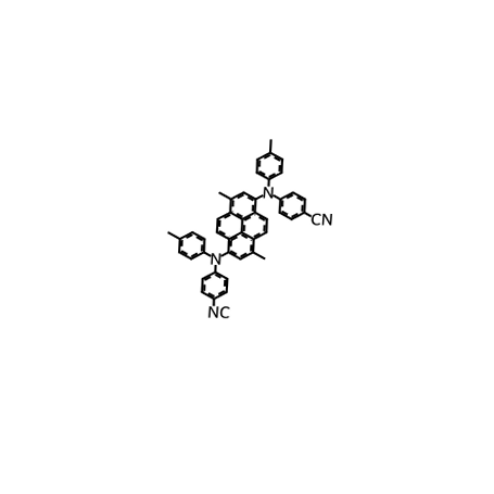 [C-]#[N+]c1ccc(N(c2ccc(C)cc2)c2cc(C)c3ccc4c(N(c5ccc(C)cc5)c5ccc(C#N)cc5)cc(C)c5ccc2c3c54)cc1